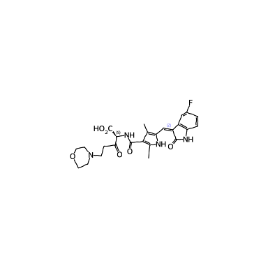 Cc1[nH]c(/C=C2\C(=O)Nc3ccc(F)cc32)c(C)c1C(=O)N[C@H](C(=O)O)C(=O)CCN1CCOCC1